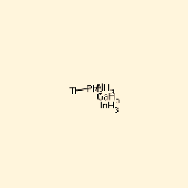 [AlH3].[GaH3].[InH3].[PH2][Tl]